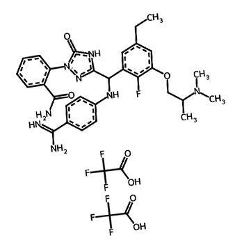 CCc1cc(OCC(C)N(C)C)c(F)c(C(Nc2ccc(C(=N)N)cc2)c2nn(-c3ccccc3C(N)=O)c(=O)[nH]2)c1.O=C(O)C(F)(F)F.O=C(O)C(F)(F)F